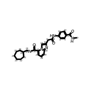 CNC(=O)c1ccc(NC(=O)Cc2cn3c(C(=O)NCC4CCCCCC4)cccc3n2)cc1